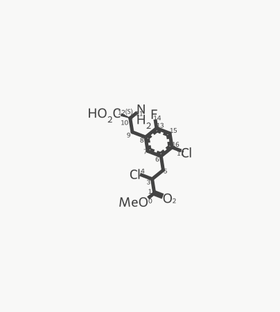 COC(=O)C(Cl)Cc1cc(C[C@H](N)C(=O)O)c(F)cc1Cl